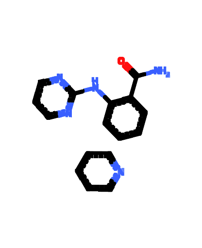 NC(=O)c1ccccc1Nc1ncccn1.c1ccncc1